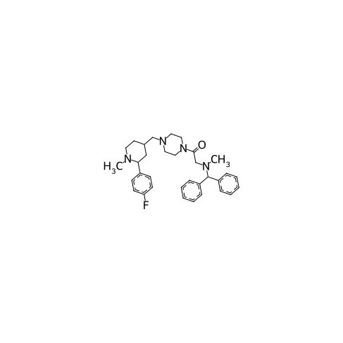 CN1CCC(CN2CCN(C(=O)CN(C)C(c3ccccc3)c3ccccc3)CC2)CC1c1ccc(F)cc1